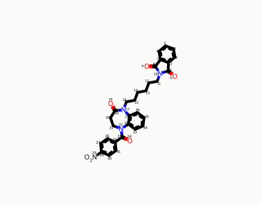 O=C1c2ccccc2C(=O)N1CCCCCCN1C(=O)CCN(C(=O)c2ccc([N+](=O)[O-])cc2)c2ccccc21